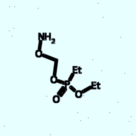 CCOP(=O)(CC)OCON